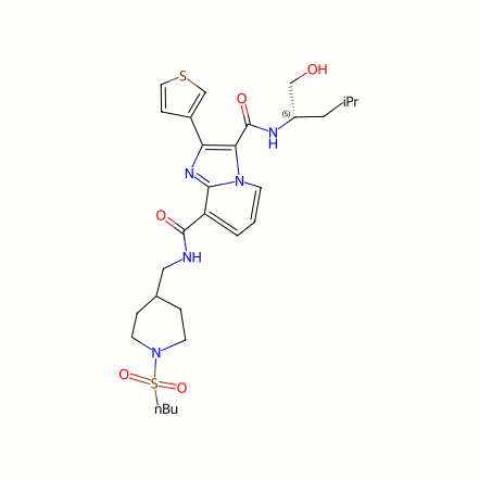 CCCCS(=O)(=O)N1CCC(CNC(=O)c2cccn3c(C(=O)N[C@H](CO)CC(C)C)c(-c4ccsc4)nc23)CC1